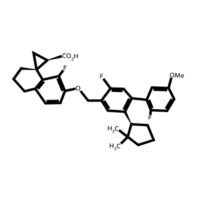 COc1ccc(F)c(-c2cc(F)c(COc3ccc4c(c3F)[C@]3(CCC4)C[C@H]3C(=O)O)cc2[C@H]2CCCC2(C)C)c1